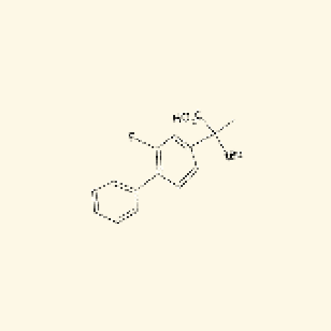 CC(C)(C)C(C)(C(=O)O)c1ccc(-c2ccccc2)c(F)c1